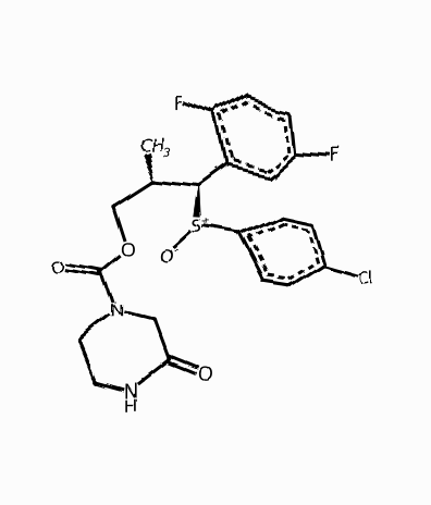 C[C@H](COC(=O)N1CCNC(=O)C1)[C@@H](c1cc(F)ccc1F)[S+]([O-])c1ccc(Cl)cc1